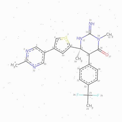 Cc1ncc(-c2csc([C@@]3(C)NC(=N)N(C)C(=O)C3c3ccc(C(C)(F)F)cc3)c2)cn1